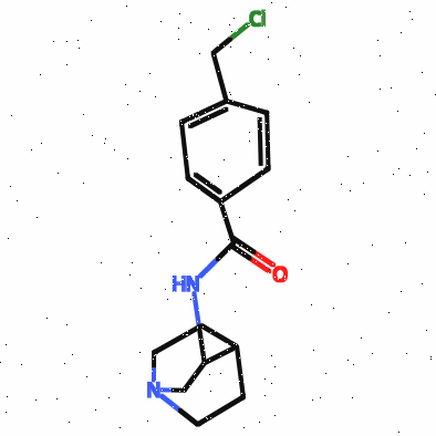 O=C(NC1CN2CCC1CC2)c1ccc(CCl)cc1